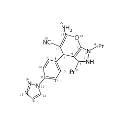 CC(C)C1NN(C(C)C)C2=C1C(c1ccc(-n3ccnn3)cc1)C(C#N)=C(N)O2